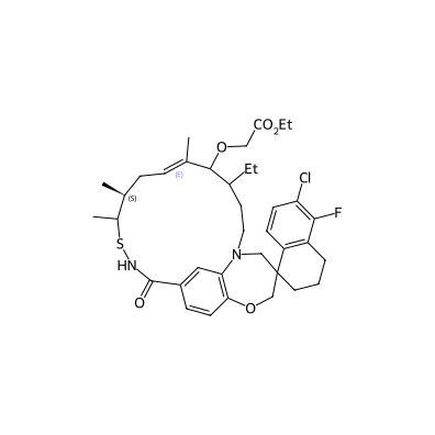 CCOC(=O)COC1/C(C)=C/C[C@H](C)C(C)SNC(=O)c2ccc3c(c2)N(CCC1CC)CC1(CCCc2c1ccc(Cl)c2F)CO3